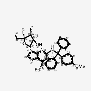 CCOc1nc(NC(c2ccccc2)(c2ccccc2)c2ccc(OC)cc2)nc2c1ncn2[C@@H]1O[C@](F)(CI)[C@@H](F)[C@@]1(C)O